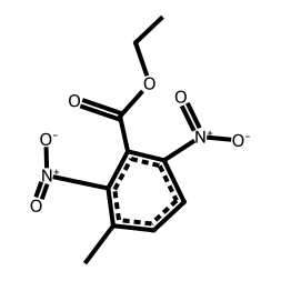 CCOC(=O)c1c([N+](=O)[O-])ccc(C)c1[N+](=O)[O-]